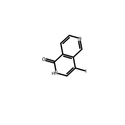 O=c1[nH]cc(I)c2cnccc12